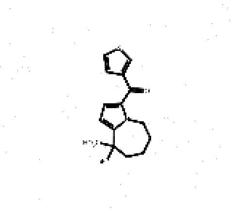 CC(C)C1(C(=O)O)CCCCn2c(C(=O)c3ccsc3)ccc21